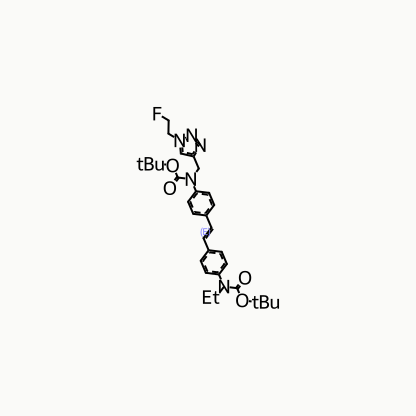 CCN(C(=O)OC(C)(C)C)c1ccc(/C=C/c2ccc(N(Cc3cn(CCF)nn3)C(=O)OC(C)(C)C)cc2)cc1